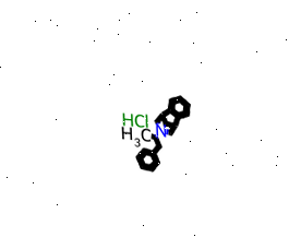 CC(Cc1ccccc1)N1CC2CC(C1)c1ccccc12.Cl